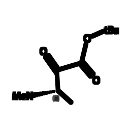 CN[C@@H](C)C(=O)C(=O)OC(C)(C)C